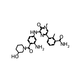 Cc1c(C(N)=O)cccc1-c1cn(C)c(=O)c(Nc2ccc(C(=O)N3CCCC(O)C3)c(N)c2)n1